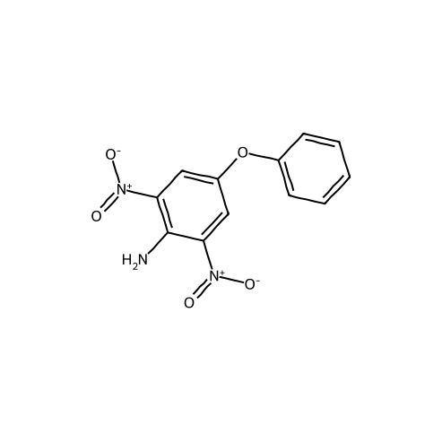 Nc1c([N+](=O)[O-])cc(Oc2ccccc2)cc1[N+](=O)[O-]